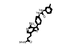 CNC(=O)CCc1cnc(N)c2c(-c3ccc(NC(=O)Nc4cccc(C)c4)cc3)csc12